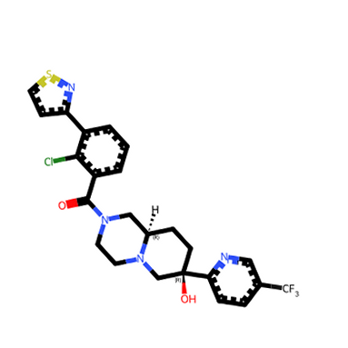 O=C(c1cccc(-c2ccsn2)c1Cl)N1CCN2C[C@@](O)(c3ccc(C(F)(F)F)cn3)CC[C@@H]2C1